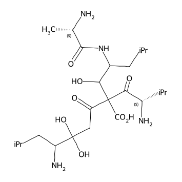 CC(C)CC(NC(=O)[C@H](C)N)C(O)C(C(=O)O)(C(=O)CC(O)(O)C(N)CC(C)C)C(=O)[C@@H](N)C(C)C